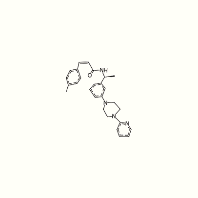 Cc1ccc(/C=C\C(=O)N[C@@H](C)c2cccc(N3CCN(c4ccccn4)CC3)c2)cc1